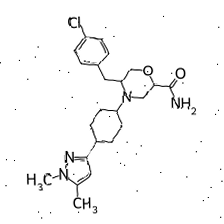 Cc1cc(C2CCC(N3CC(C(N)=O)OCC3Cc3ccc(Cl)cc3)CC2)nn1C